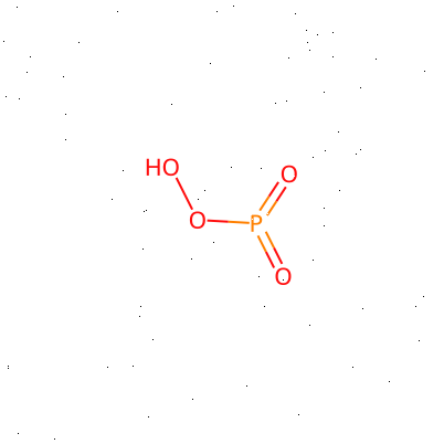 O=P(=O)OO